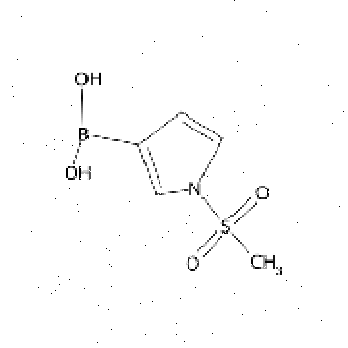 CS(=O)(=O)n1ccc(B(O)O)c1